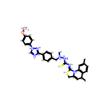 Cc1ccc2c(c1)N1C(=CC2C)CS/C1=N\C(=S)NN(C)Cc1ccc(-c2ncn(-c3ccc(OC(F)(F)F)cc3)n2)cc1